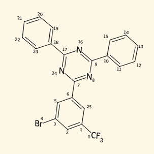 FC(F)(F)c1cc(Br)cc(-c2nc(-c3ccccc3)nc(-c3ccccc3)n2)c1